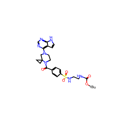 CC(C)(C)OC(=O)NCCNS(=O)(=O)c1ccc(C(=O)N2CCN(c3ncnc4[nH]ccc34)CC23CC3)cc1